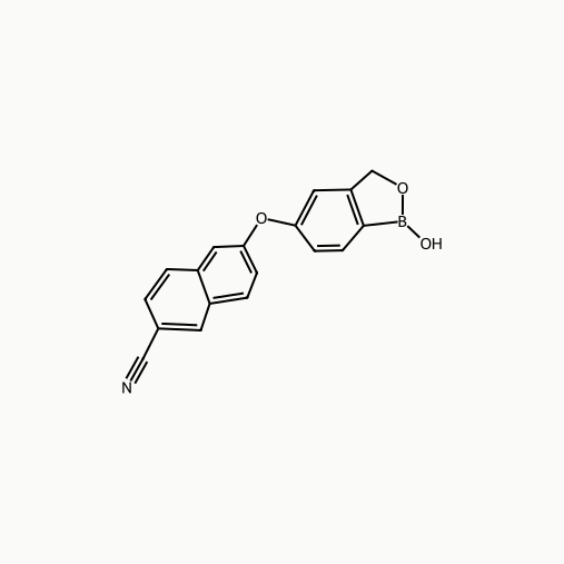 N#Cc1ccc2cc(Oc3ccc4c(c3)COB4O)ccc2c1